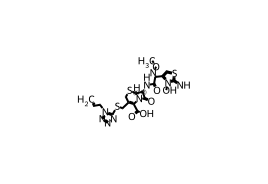 C=CCn1nnnc1SCC1=C(C(=O)O)N2C(=O)[C@@H](NC(=O)C(=NOC)c3csc(=N)n3O)[C@@H]2SC1